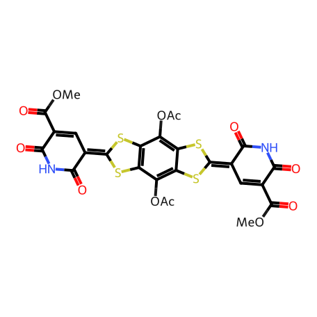 COC(=O)C1=CC(=C2Sc3c(OC(C)=O)c4c(c(OC(C)=O)c3S2)SC(=C2C=C(C(=O)OC)C(=O)NC2=O)S4)C(=O)NC1=O